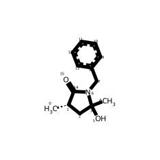 C[C@H]1CC(C)(O)N(Cc2ccccc2)C1=O